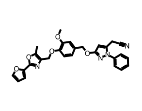 COc1cc(COc2cc(CC#N)n(-c3ccccc3)n2)ccc1OCc1nc(-c2ccco2)oc1C